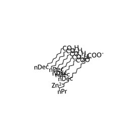 CCCCCCCCCCCCCCCCCC(=O)O.CCCCCCCCCCCCCCCCCC(=O)O.CCCCCCCCCCCCCCCCCC(=O)O.CCCCCCCCCCCCCCCCCC(=O)O.CCCCCCCCCCCCCCCCCC(=O)[O-].CCC[CH]([Zn+2])CCCCCCCCCCCCCC(=O)[O-]